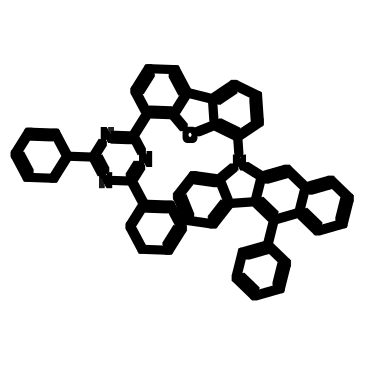 C1=CCCC(c2nc(-c3cccc4c3oc3c(-n5c6ccccc6c6c(-c7ccccc7)c7ccccc7cc65)cccc34)nc(C3C=CC=CC3)n2)=C1